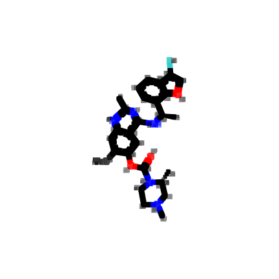 COc1cc2nc(C)nc(N[C@H](C)c3cccc4c(F)coc34)c2cc1OC(=O)N1CCN(C)C[C@H]1C